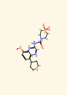 COc1ccc(C2CCOCC2)c2ncc(NC(=O)N3CCS(=O)(=O)CC3)nc12